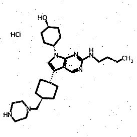 CCCCNc1ncc2c(n1)n([C@H]1CC[C@H](O)CC1)cc2[C@H]1CC[C@H](CN2CCNCC2)CC1.Cl